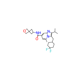 Cc1cc(C(=O)NC2CC3(COC3)C2)cc2nc(C(C)C)c(CC3CCC(F)(F)CC3)n12